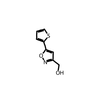 OCc1cc(-c2cccs2)on1